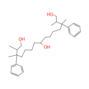 CC(CO)C(C)(CCCCC(O)CCCCC(C)(c1ccccc1)C(C)CO)c1ccccc1